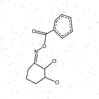 O=C(ON=C1CCCC(Cl)C1Cl)c1ccccc1